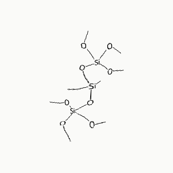 CO[Si](OC)(OC)O[Si](C)(C)O[Si](OC)(OC)OC